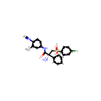 [C-]#[N+]c1ccc(NC(=O)[C@@](N)(CS(=O)(=O)c2ccc(F)cc2)c2ccccc2)cc1C